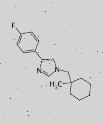 CC1(Cn2cnc(-c3ccc(F)cc3)c2)CCCCC1